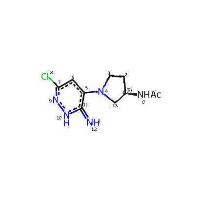 CC(=O)N[C@@H]1CCN(c2cc(Cl)n[nH]c2=N)C1